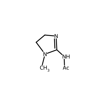 CC(=O)NC1=NCCN1C